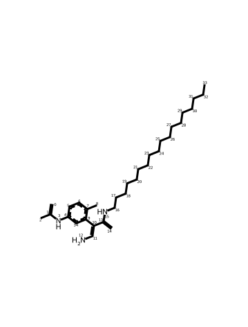 C=C(C)Nc1ccc(C)c(/C(=C\N)C(=C)NCCCCCCCCCCCCCCCCCC)c1